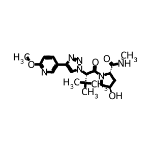 CNC(=O)[C@@H]1C[C@@H](O)CN1C(=O)[C@@H](n1cc(-c2ccc(OC)nc2)nn1)C(C)(C)C